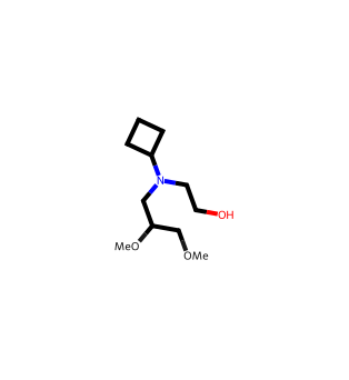 COCC(CN(CCO)C1CCC1)OC